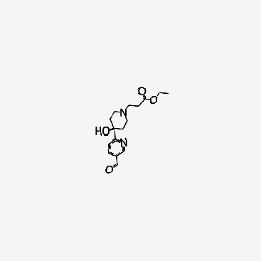 CCOC(=O)CCN1CCC(O)(c2ccc(C=O)cn2)CC1